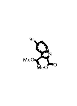 COC(=O)c1nn2ccc(Br)cc2c1C(=O)OC